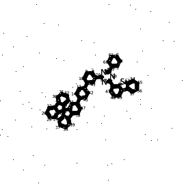 c1ccc(-c2nc(-c3cccc(-c4ccc(-c5ccc6c(c5)C5(c7ccccc7-c7ccccc75)c5ccccc5-6)cc4)c3)nc(-c3cccc4c3sc3ccccc34)n2)cc1